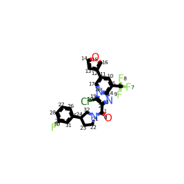 O=C(c1nc2c(C(F)(F)F)cc(-c3ccoc3)cn2c1Cl)N1CCC(c2cccc(F)c2)C1